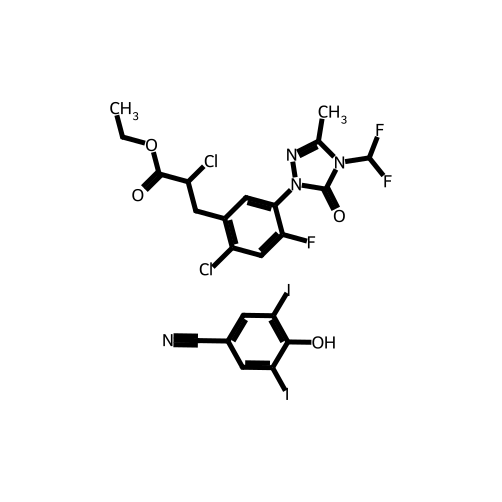 CCOC(=O)C(Cl)Cc1cc(-n2nc(C)n(C(F)F)c2=O)c(F)cc1Cl.N#Cc1cc(I)c(O)c(I)c1